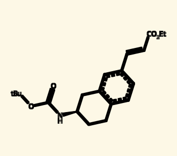 CCOC(=O)C=Cc1ccc2c(c1)C[C@H](NC(=O)OC(C)(C)C)CC2